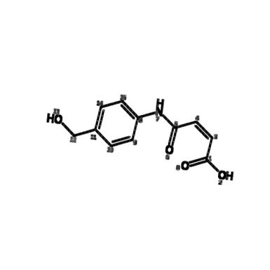 O=C(O)/C=C\C(=O)Nc1ccc(CO)cc1